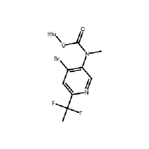 CN(C(=O)OC(C)(C)C)c1cnc(C(C)(F)F)cc1Br